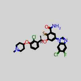 C[C@@H](OC1C=C(n2cnc3cc(F)c(Cl)cc32)C=C(C(N)=O)C1=S)c1cccc(OC2CCN(C)CC2)c1Cl